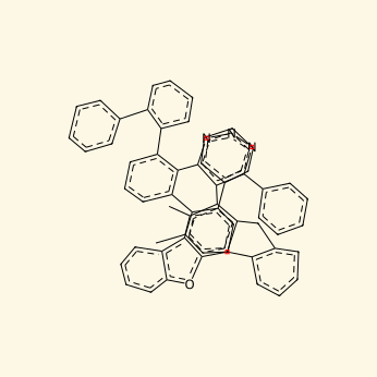 Cc1cc2c(c(-c3c(-c4ccccc4)nnnc3-c3c(-c4ccccc4-c4ccccc4)cccc3-c3c(-c4ccccc4)ccc4oc5ccccc5c34)c1C)Cc1ccccc1-2